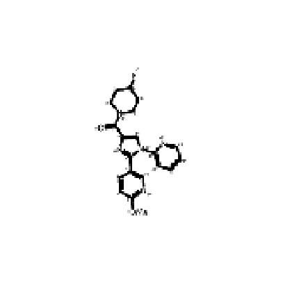 COc1ccc(-c2nc(C(=O)N3CCC(F)CC3)cn2-c2ccccn2)cn1